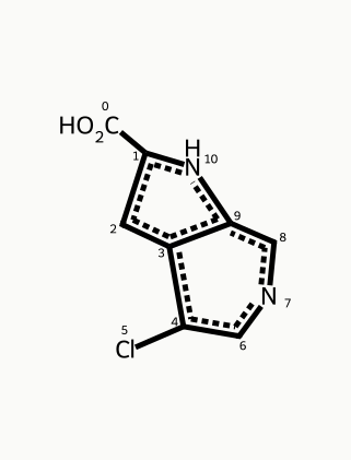 O=C(O)c1cc2c(Cl)cncc2[nH]1